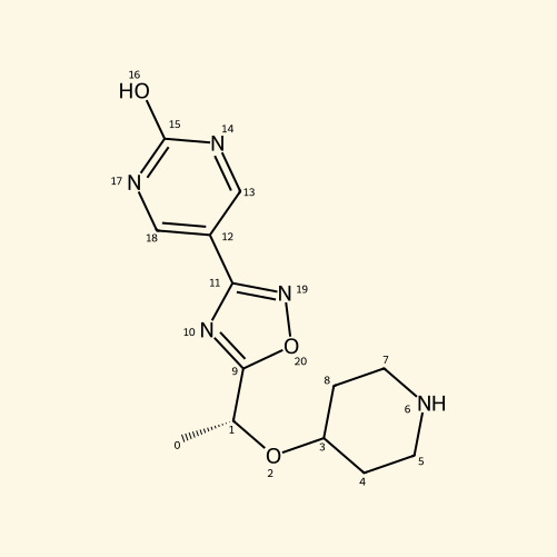 C[C@@H](OC1CCNCC1)c1nc(-c2cnc(O)nc2)no1